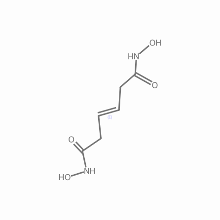 O=C(C/C=C/CC(=O)NO)NO